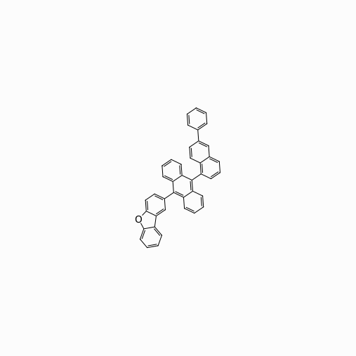 c1ccc(-c2ccc3c(-c4c5ccccc5c(-c5ccc6oc7ccccc7c6c5)c5ccccc45)cccc3c2)cc1